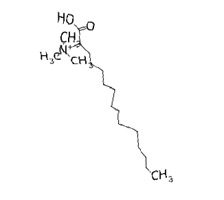 CCCCCCCCCCCCCC(C(=O)O)[N+](C)(C)C